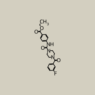 CCOC(=O)c1ccc(NC(=O)N2CCN(C(=O)c3cccc(F)c3)CC2)cc1